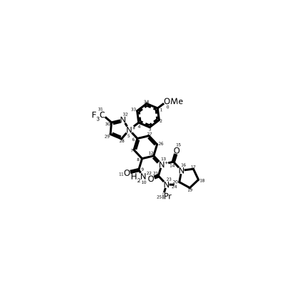 COc1ccc([N+]2(C3=CC(C(N)=O)C(=[N+](C(=O)N4CCCC4)C(=O)N(C)C(C)C)C=C3)C=CC(C(F)(F)F)=N2)cc1